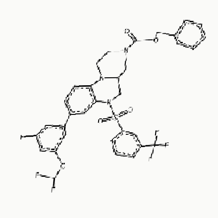 O=C(OCc1ccccc1)N1CCN2c3ccc(-c4cc(F)cc(OC(F)F)c4)cc3N(S(=O)(=O)c3cccc(C(F)(F)F)c3)CC2C1